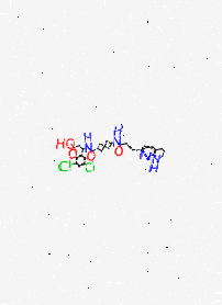 O=C(O)CC(NC(=O)C1CC2(CC(NC(=O)CCc3ccc4c(n3)NCCC4)C2)C1)c1cc(Cl)cc(Cl)c1